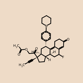 CC#C[C@]1(C(=O)COC(C)=O)CC[C@H]2[C@@H]3CC(F)C4=CC(=O)CCC4=C3[C@@H](c3ccc(N4CCCCC4)cc3)C[C@@]21C